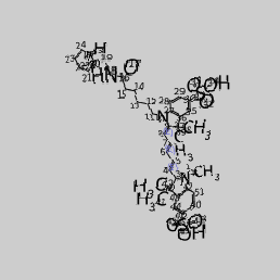 CC[N+]1=C(/C=C/C=C/C=C2/N(CCCCCC(=O)NC[C@@H]3CC4C=C[C@H]3C4)c3ccc(S(=O)(=O)O)cc3C2(C)C)C(C)(C)c2cc(S(=O)(=O)O)ccc21